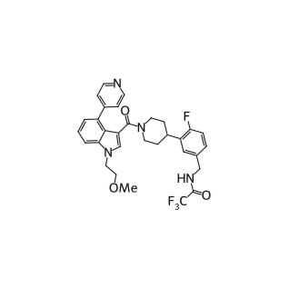 COCCn1cc(C(=O)N2CCC(c3cc(CNC(=O)C(F)(F)F)ccc3F)CC2)c2c(-c3ccncc3)cccc21